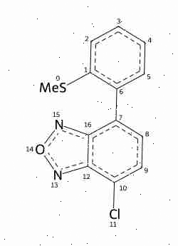 CSc1ccccc1-c1ccc(Cl)c2nonc12